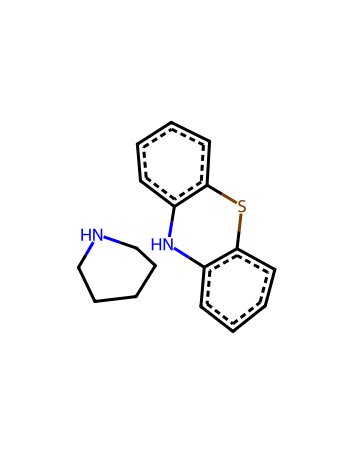 C1CCNCC1.c1ccc2c(c1)Nc1ccccc1S2